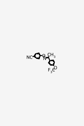 C/C(=N\Oc1ccc(C#N)cc1)c1ccc(OC(F)(F)F)cc1